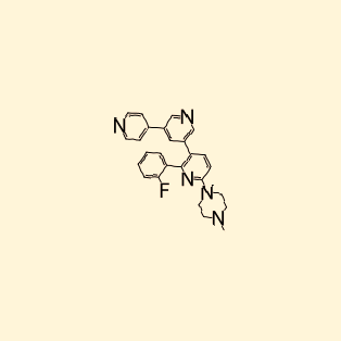 CN1CCN(c2ccc(-c3cncc(-c4ccncc4)c3)c(-c3ccccc3F)n2)CC1